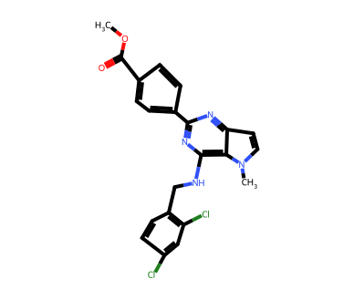 COC(=O)c1ccc(-c2nc(NCc3ccc(Cl)cc3Cl)c3c(ccn3C)n2)cc1